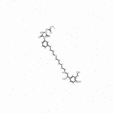 CC(=O)On1[nH]c(=O)n(-c2cccc(CCCCOCCCCCCNC[C@@H](O)c3ccc(O)c(CO)c3)c2)c1=O